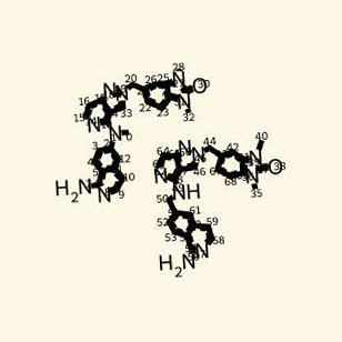 CN(c1ccc2c(N)nccc2c1)c1nccc2nn(Cc3ccc4c(c3)n(C)c(=O)n4C)cc12.Cn1c(=O)n(C)c2cc(Cn3cc4c(NCc5ccc6c(N)nccc6c5)nccc4n3)ccc21